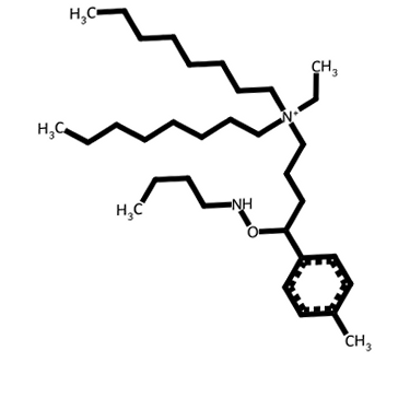 CCCCCCCC[N+](CC)(CCCCCCCC)CCCC(ONCCCC)c1ccc(C)cc1